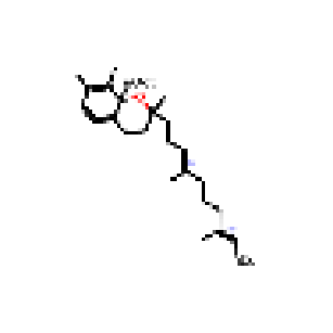 CCCC/C=C(\C)CCC/C(C)=C/CCC1(C)CCC2=C=CC(C)=C(C)C2(CCCCCCCC)O1